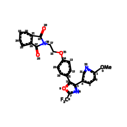 COc1ccc(-c2nc(C(F)(F)F)oc2-c2ccc(OCCN3C(=O)c4ccccc4C3=O)cc2)cn1